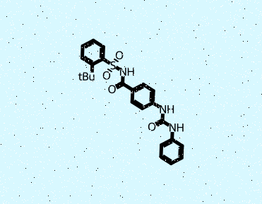 CC(C)(C)c1ccccc1S(=O)(=O)NC(=O)c1ccc(NC(=O)Nc2ccccc2)cc1